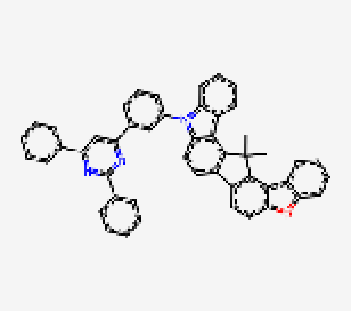 CC1(C)c2c(ccc3oc4ccccc4c23)-c2ccc3c(c21)c1ccccc1n3-c1cccc(-c2cc(-c3ccccc3)nc(-c3ccccc3)n2)c1